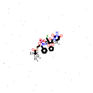 CCC(C)(C)C(=O)SCCOP(=O)(NCc1ccccc1)OC[C@@]1(CF)O[C@@H](n2ccc(=O)[nH]c2=O)[C@]2(C)OC3(CCCC3)O[C@H]12